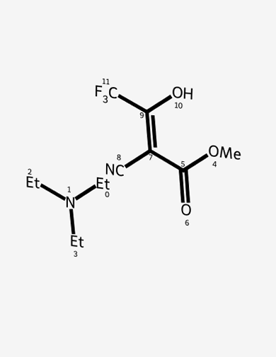 CCN(CC)CC.COC(=O)C(C#N)=C(O)C(F)(F)F